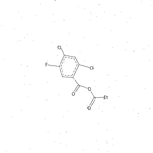 CCC(=O)OC(=O)c1cc(F)c(Cl)cc1Cl